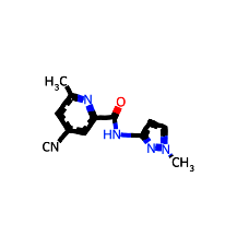 [C-]#[N+]c1cc(C)nc(C(=O)Nc2ccn(C)n2)c1